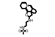 CS(=O)(=O)NCCNC1CC23CCCCC2=CN2C=CCCC2=C3O1